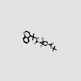 CC(C)(C)OC(=O)N1C[C@@H]2[C@H](C1)[C@H]2C(=O)NC(C)(C)C1CCOc2ccccc21